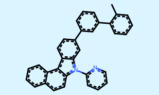 Cc1ccccc1-c1cccc(-c2ccc3c4c5ccccc5ccc4n(-c4ccccn4)c3c2)c1